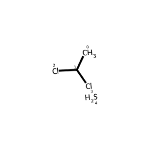 CC(Cl)Cl.S